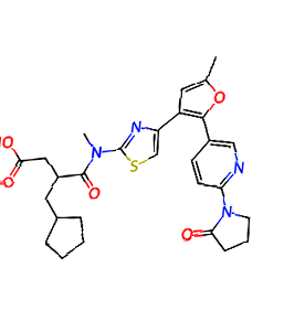 Cc1cc(-c2csc(N(C)C(=O)C(CC(=O)O)CC3CCCC3)n2)c(-c2ccc(N3CCCC3=O)nc2)o1